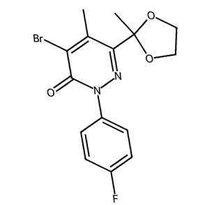 Cc1c(C2(C)OCCO2)nn(-c2ccc(F)cc2)c(=O)c1Br